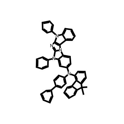 CC1(C)c2ccccc2-c2c(N(c3ccc(-c4ccccc4)cc3)c3ccc4c(c3)n(-c3ccccc3)c3nc5c(c6ccccc6n5-c5ccccc5)n43)cccc21